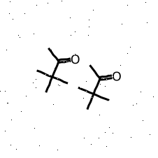 CC(=O)C(C)(C)C.CC(=O)C(C)(C)C